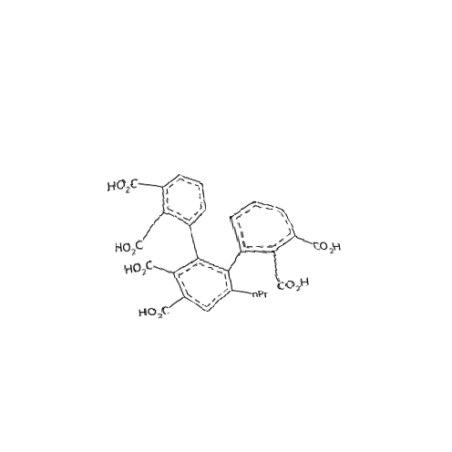 CCCc1cc(C(=O)O)c(C(=O)O)c(-c2cccc(C(=O)O)c2C(=O)O)c1-c1cccc(C(=O)O)c1C(=O)O